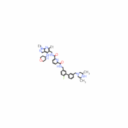 CCc1nc2c(cnn2CC)c(NC2CCOCC2)c1CNC(=O)c1cccc(C(=O)NCc2ccc(F)c(-c3cccc(CN4C[C@@H](C)N[C@@H](C)C4)c3)c2)n1